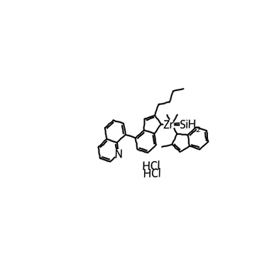 CCCCC1=Cc2c(-c3cccc4cccnc34)cccc2[CH]1[Zr]([CH3])([CH3])(=[SiH2])[CH]1C(C)=Cc2ccccc21.Cl.Cl